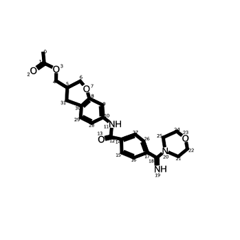 CC(=O)OCC1COc2cc(NC(=O)c3ccc(C(=N)N4CCOCC4)cc3)ccc2C1